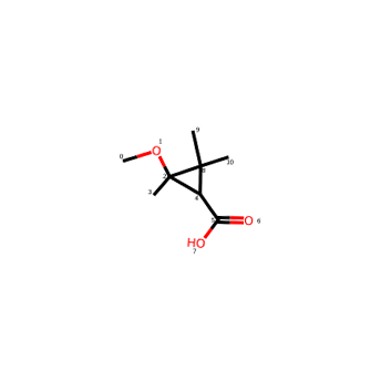 COC1(C)C(C(=O)O)C1(C)C